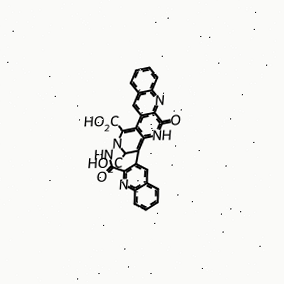 O=C(O)C1=c2c([nH]c(=O)c3nc4ccccc4cc23)=C2c3cc4ccccc4nc3C(=O)NN1C2C(=O)O